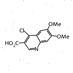 COc1cc2ncc(C(=O)O)c(Cl)c2cc1OC